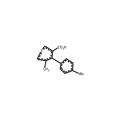 Cc1cccc(C(=O)O)c1-c1ccc(C(C)(C)C)cc1